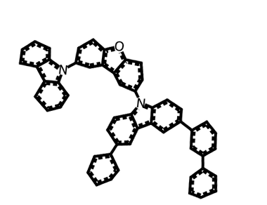 c1ccc(-c2cccc(-c3ccc4c(c3)c3cc(-c5ccccc5)ccc3n4-c3ccc4oc5ccc(-n6c7ccccc7c7ccccc76)cc5c4c3)c2)cc1